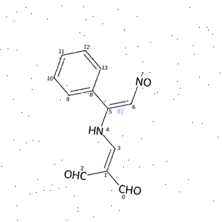 O=CC(C=O)=CN/C(=C/N=O)c1ccccc1